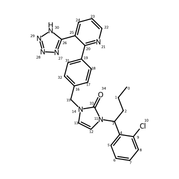 CCCC(c1ccccc1Cl)n1ccn(Cc2ccc(-c3ncccc3-c3nnn[nH]3)cc2)c1=O